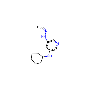 C=NNc1cncc(NC2CCCCC2)c1